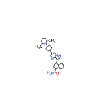 C[C@@H]1CCC[C@H](C)N1c1ccc(-c2cnc3c(-c4ccc(C(N)=O)c5ccccc45)cnn3c2)cc1